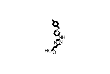 Cc1ccc(CN2CCC[C@@H](Nc3cnc(C=CC(=O)O)cn3)C2)cc1